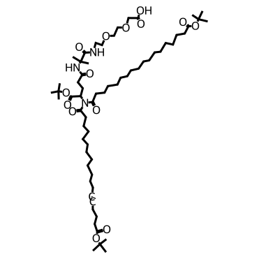 CC(C)(C)OC(=O)CCCCCCCCCCCCCCCCC(=O)N(C(=O)CCCCCCCCCCCCCCCCC(=O)OC(C)(C)C)C(CCC(=O)NC(C)(C)C(=O)NCCOCCOCC(=O)O)C(=O)OC(C)(C)C